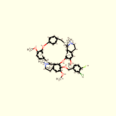 COc1ccc2cc1Oc1ccc(cc1)CC[C@H]1c3cc(c(OC)cc3CCN1C)Oc1c(OCc3ccc(F)c(Cl)c3)c(OC)cc3c1[C@H](C2)N(C)CC3